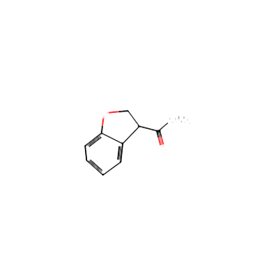 COC(=O)C1COc2ccccc21